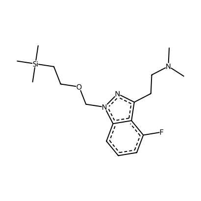 CN(C)CCc1nn(COCC[Si](C)(C)C)c2cccc(F)c12